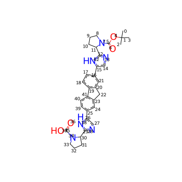 CC(C)(C)OC(=O)N1CCCC1c1ncc(-c2ccc3c(c2)Cc2cc(-c4cnc(C5CCCN5C(=O)O)[nH]4)ccc2-3)[nH]1